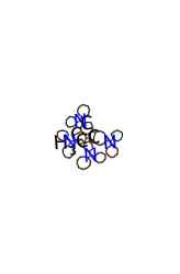 CC1CCC(N(C2CCCCCCCCC2)C2CCCCCCC2)CCC1C1(C2CCCCC(N(C3CCCCCCCC3)C3CCCCCCC3)CCC2)C2CCCC(N(C3CCCCCCCC3)C3CCCCCCC3)CCCC(C2)C2CCCC(N(C3CCCCCCCC3)C3CCCCCCC3)CCCC21